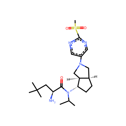 CC(C)N(C(=O)[C@@H](N)CC(C)(C)C)[C@H]1CC[C@@H]2CN(c3cnc(S(C)(=O)=O)nc3)C[C@@H]21